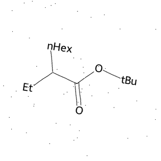 CCCCCCC(CC)C(=O)OC(C)(C)C